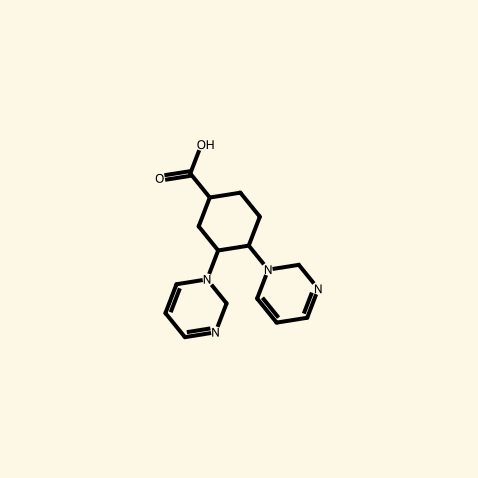 O=C(O)C1CCC(N2C=CC=NC2)C(N2C=CC=NC2)C1